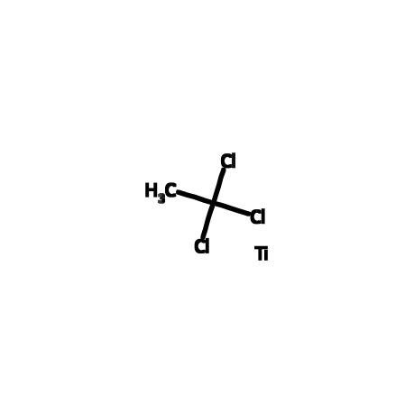 CC(Cl)(Cl)Cl.[Ti]